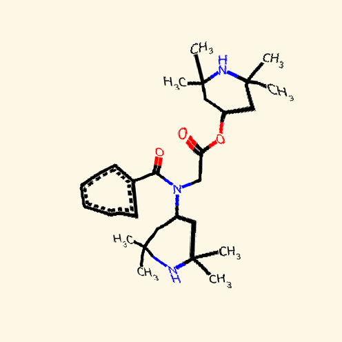 CC1(C)CC(OC(=O)CN(C(=O)c2ccccc2)C2CC(C)(C)NC(C)(C)C2)CC(C)(C)N1